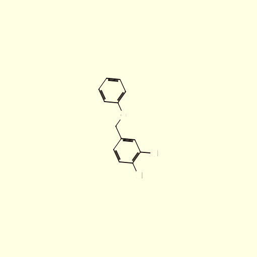 Clc1ccc(COc2cc[c]cc2)cc1Cl